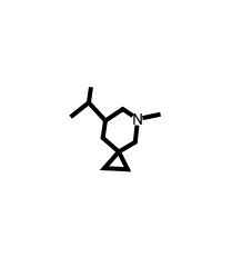 CC(C)C1CN(C)CC2(CC2)C1